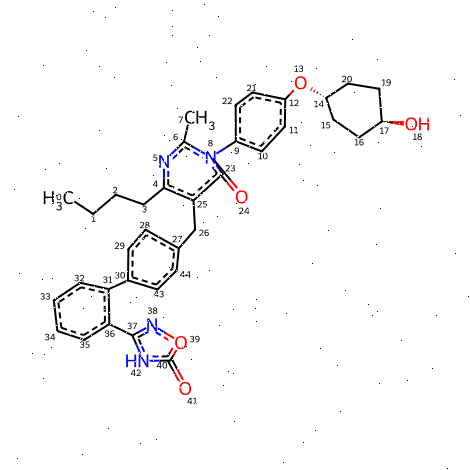 CCCCc1nc(C)n(-c2ccc(O[C@H]3CC[C@H](O)CC3)cc2)c(=O)c1Cc1ccc(-c2ccccc2-c2noc(=O)[nH]2)cc1